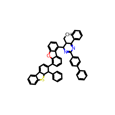 CCC1C(c2ccccc2)=NC(c2ccc(-c3ccccc3)cc2)=NC1c1cccc2oc3c(C4=CC=C5c6ccccc6SC5C4c4ccccc4)cccc3c12